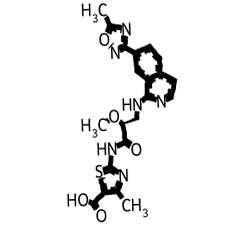 CO[C@@H](CNc1nccc2ccc(-c3noc(C)n3)cc12)C(=O)Nc1nc(C)c(C(=O)O)s1